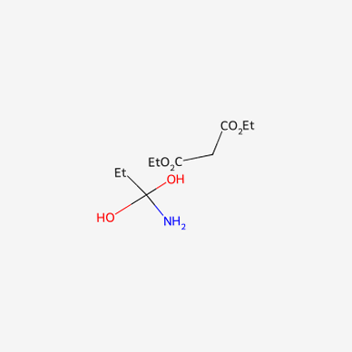 CCC(N)(O)O.CCOC(=O)CC(=O)OCC